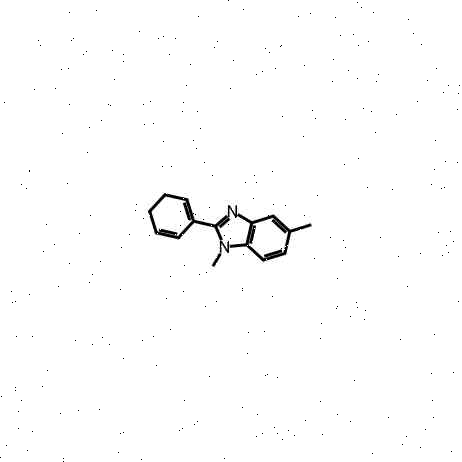 Cc1ccc2c(c1)nc(C1=CCCC=C1)n2C